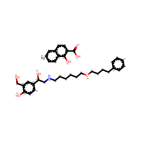 O=C(O)c1ccc2ccccc2c1O.OCc1cc(C(O)CNCCCCCCOCCCCc2ccccc2)ccc1O.[Ag]